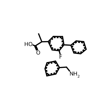 CC(C(=O)O)c1ccc(-c2ccccc2)c(F)c1.NCc1ccccc1